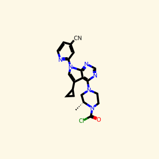 C[C@@H]1CN(c2ncnc3c2c(C2CC2)cn3-c2cc(C#N)ccn2)CCN1C(=O)Cl